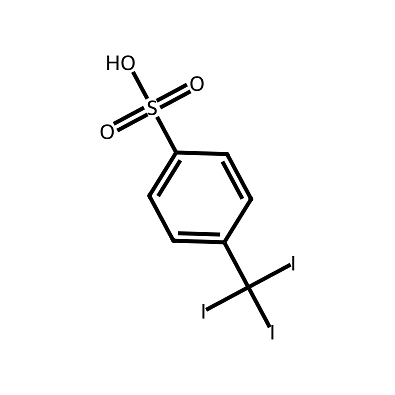 O=S(=O)(O)c1ccc(C(I)(I)I)cc1